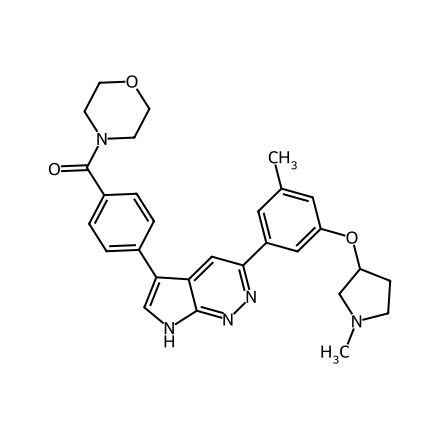 Cc1cc(OC2CCN(C)C2)cc(-c2cc3c(-c4ccc(C(=O)N5CCOCC5)cc4)c[nH]c3nn2)c1